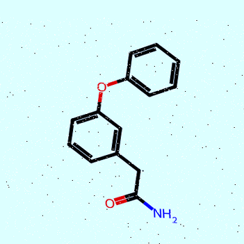 NC(=O)[CH]c1cccc(Oc2ccccc2)c1